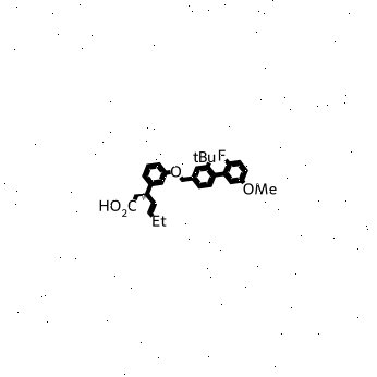 CCC=C[C@@H](CC(=O)O)c1cccc(OCc2ccc(-c3cc(OC)ccc3F)c(C(C)(C)C)c2)c1